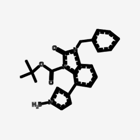 Bn1ccc(-c2cccc3c2n(C(=O)OC(C)(C)C)c(=O)n3Cc2ccccc2)c1